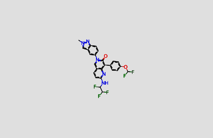 Cn1cc2cc(-n3cc4ccc(NC(F)C(F)F)nc4c(-c4ccc(OC(F)F)cc4)c3=O)ccc2n1